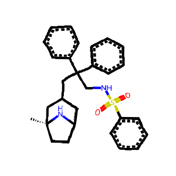 C[C@]12CCC(CC(CC(CNS(=O)(=O)c3ccccc3)(c3ccccc3)c3ccccc3)C1)N2